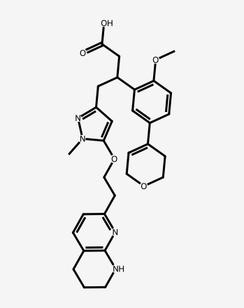 COc1ccc(C2=CCOCC2)cc1C(CC(=O)O)Cc1cc(OCCc2ccc3c(n2)NCCC3)n(C)n1